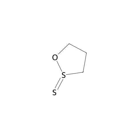 S=S1CCCO1